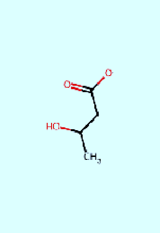 CC(O)CC([O])=O